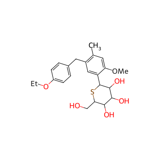 CCOc1ccc(Cc2cc(C3SC(CO)C(O)C(O)C3O)c(OC)cc2C)cc1